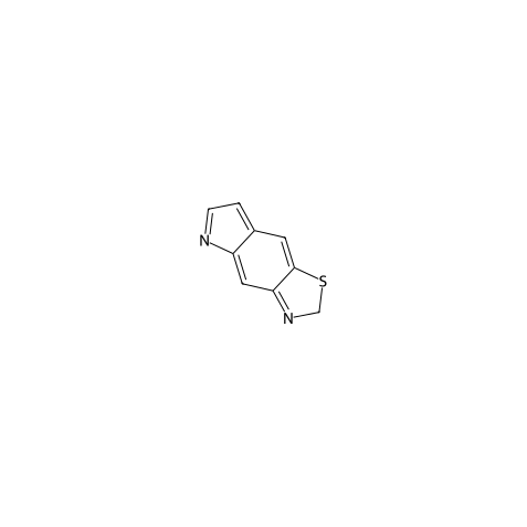 C1=Nc2cc3c(cc2=C1)SCN=3